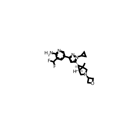 CC12CN(C3COC3)C[C@H]1[C@@H]2c1cc(-c2cnc(N)c(C(F)F)c2)nn1C1CC1